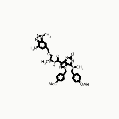 COc1ccc(CN(C)c2nc(Cl)nc3c(C(=O)N[C@H](C)COCc4cc(N)c5nnn(C)c5c4)nn(Cc4ccc(OC)cc4)c23)cc1